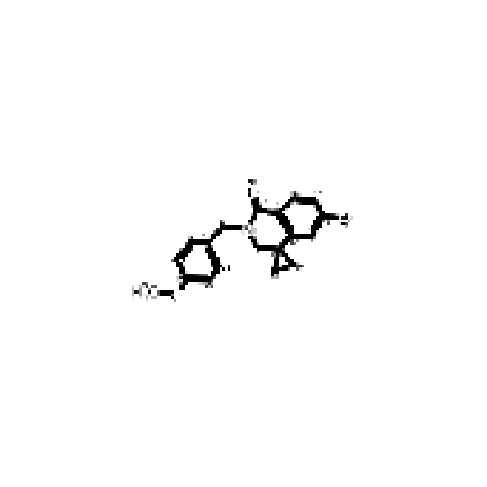 COc1ccc(CN2CC3(CC3)c3cc(Br)ccc3C2=O)cc1